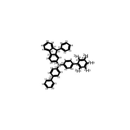 [2H]c1c([2H])c([2H])c(-c2ccc(N(c3ccc(-c4ccccc4)cc3)c3ccc4c(c3)C(c3ccccc3)c3ccccc3-4)cc2)c([2H])c1[2H]